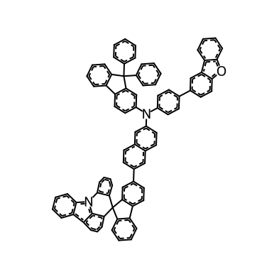 c1ccc(C2(c3ccccc3)c3ccccc3-c3ccc(N(c4ccc(-c5ccc6oc7ccccc7c6c5)cc4)c4ccc5cc(-c6ccc7c(c6)C6(c8ccccc8-7)c7ccccc7-n7c8ccccc8c8cccc6c87)ccc5c4)cc32)cc1